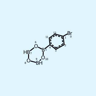 Brc1ccc(B2OBOBO2)cc1